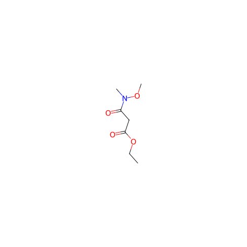 CCOC(=O)CC(=O)N(C)OC